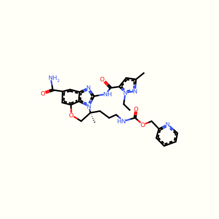 CCn1nc(C)cc1C(=O)Nc1nc2cc(C(N)=O)cc3c2n1[C@@](C)(CCCNC(=O)OCc1ccccn1)CO3